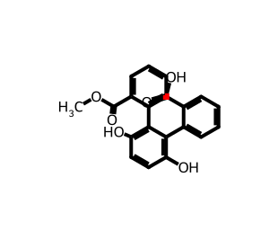 COC(=O)c1ccccc1-c1c(O)ccc(O)c1-c1ccccc1C(=O)O